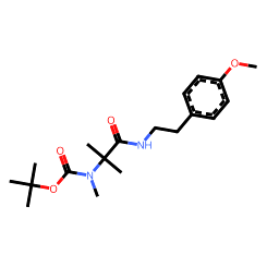 COc1ccc(CCNC(=O)C(C)(C)N(C)C(=O)OC(C)(C)C)cc1